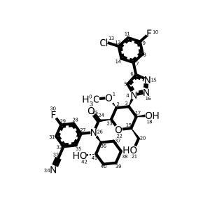 CO[C@@H]1[C@@H](n2cc(-c3cc(F)cc(Cl)c3)nn2)[C@@H](O)[C@@H](CO)O[C@H]1C(=O)N(c1cc(F)cc(C#N)c1)[C@H]1CCCC[C@@H]1O